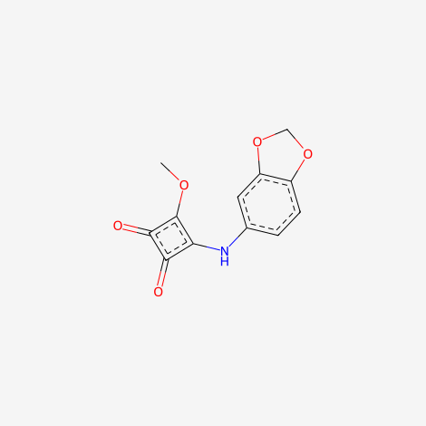 COc1c(Nc2ccc3c(c2)OCO3)c(=O)c1=O